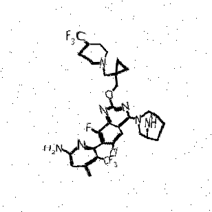 Cc1cc(N)nc(-c2c(Cl)cc3c(N4CC5CCC(C4)N5)nc(OCC4(CN5CCC(C(F)(F)F)CC5)CC4)nc3c2F)c1C(F)(F)F